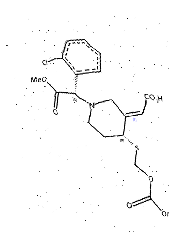 COC(=O)OCS[C@@H]1CCN([C@H](C(=O)OC)c2ccccc2Cl)C/C1=C\C(=O)O